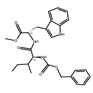 CCC(C)[C@H](NC(=O)OCc1ccccc1)C(=O)N[C@@H](Cc1c[nH]c2ccccc12)C(=O)OC